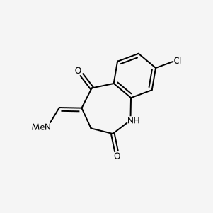 CN/C=C1\CC(=O)Nc2cc(Cl)ccc2C1=O